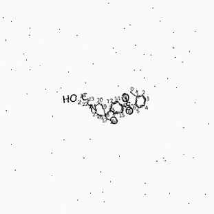 Cc1ccccc1S(=O)(=O)c1ccc2c(c1)OCC21CCN(CCC(=O)O)CC1